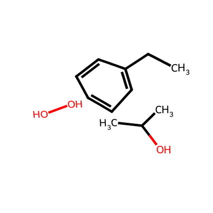 CC(C)O.CCc1ccccc1.OO